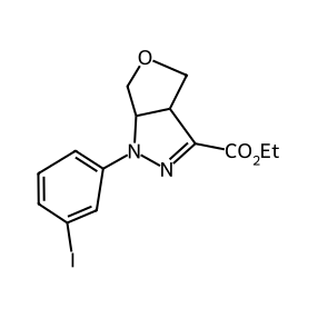 CCOC(=O)C1=NN(c2cccc(I)c2)C2COCC12